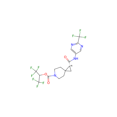 O=C(Nc1cnc(C(F)(F)F)nc1)[C@@H]1CC12CCN(C(=O)OC(C(F)(F)F)C(F)(F)F)CC2